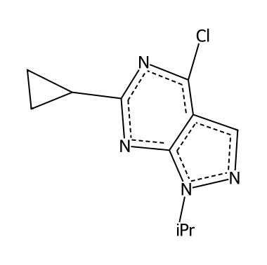 CC(C)n1ncc2c(Cl)nc(C3CC3)nc21